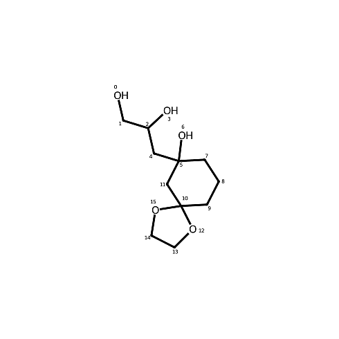 OCC(O)CC1(O)CCCC2(C1)OCCO2